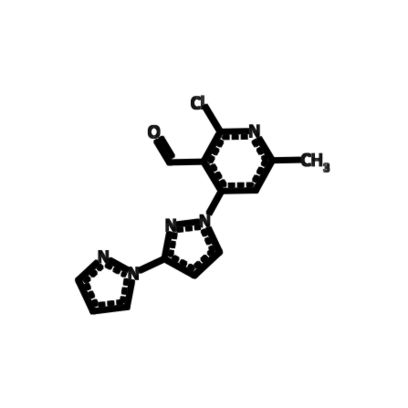 Cc1cc(-n2ccc(-n3cccn3)n2)c(C=O)c(Cl)n1